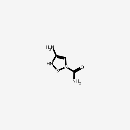 NC(=O)N1C=C(N)NS1